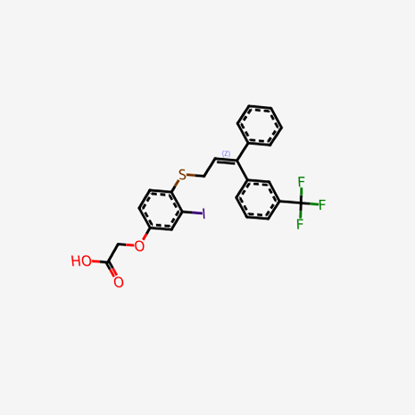 O=C(O)COc1ccc(SC/C=C(/c2ccccc2)c2cccc(C(F)(F)F)c2)c(I)c1